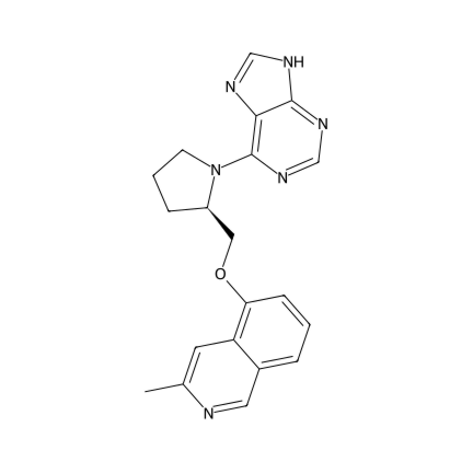 Cc1cc2c(OC[C@H]3CCCN3c3ncnc4[nH]cnc34)cccc2cn1